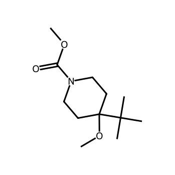 COC(=O)N1CCC(OC)(C(C)(C)C)CC1